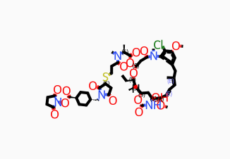 CC[C@H]1O[C@@H](OC(=O)[C@H](C)N(C)C(=O)CCS[C@H]2CC(=O)N(C[C@H]3CC[C@H](C(=O)ON4C(=O)CCC4=O)CC3)C2=O)CC(=O)N(C)c2cc(cc(OC)c2Cl)C/C(C)=C/C=C/[C@@H](OC)[C@@]2(O)C[C@H](OC(=O)N2)[C@H]1C